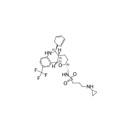 O=S(=O)(CCCNC1CC1)NC[C@H]1CC[C@@H]2[C@H](O1)c1cc(C(F)(F)F)ccc1N[C@H]2C1C=CC=CC1